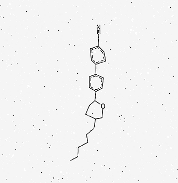 CCCCCCC1CCC(c2ccc(-c3ccc(C#N)cc3)cc2)OC1